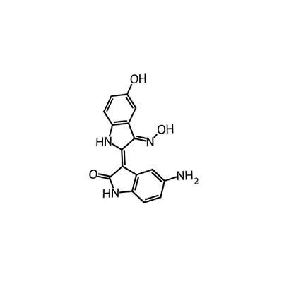 Nc1ccc2c(c1)/C(=C1/Nc3ccc(O)cc3/C1=N\O)C(=O)N2